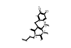 C=C1C(Cc2ccc(Cl)c(Cl)c2)=C(NC)N(C)C(=C)N1CCCC